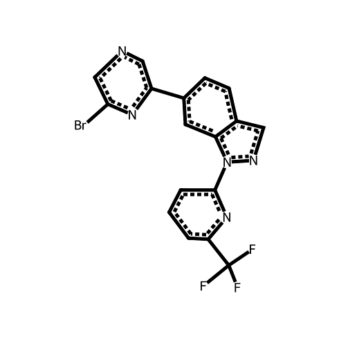 FC(F)(F)c1cccc(-n2ncc3ccc(-c4cncc(Br)n4)cc32)n1